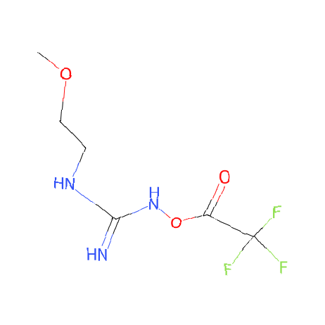 COCCNC(=N)NOC(=O)C(F)(F)F